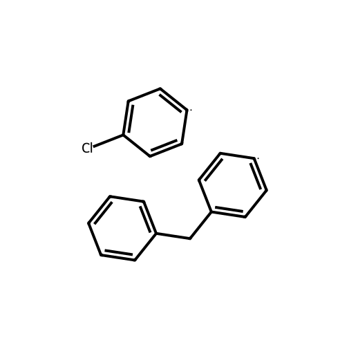 Clc1cc[c]cc1.[c]1ccc(Cc2ccccc2)cc1